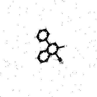 N#Cc1c(I)cc(-c2ccccc2)c2ccccc12